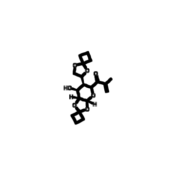 C=C(C)C(=O)C1O[C@@H]2OC3(CCC3)O[C@@H]2[C@@H](O)[C@H]1C1COC2(CCC2)O1